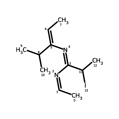 C\C=N/C(=N\C(=C/C)C(C)C)C(C)I